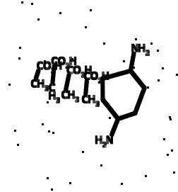 CC(=O)O.CC(=O)O.CC(=O)O.CC(=O)O.NC1CCC(N)CC1